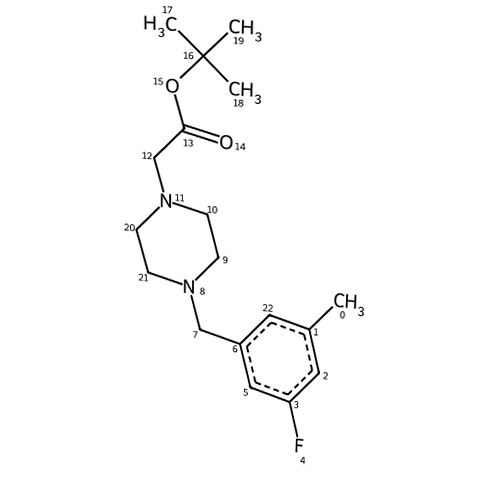 Cc1cc(F)cc(CN2CCN(CC(=O)OC(C)(C)C)CC2)c1